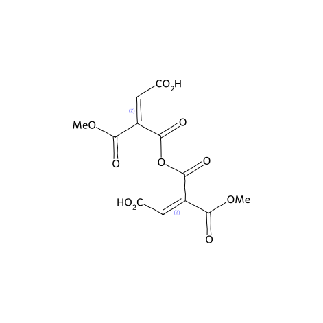 COC(=O)/C(=C/C(=O)O)C(=O)OC(=O)/C(=C\C(=O)O)C(=O)OC